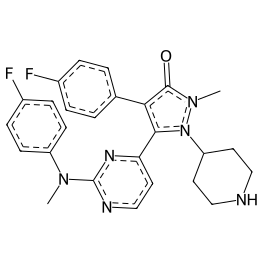 CN(c1ccc(F)cc1)c1nccc(-c2c(-c3ccc(F)cc3)c(=O)n(C)n2C2CCNCC2)n1